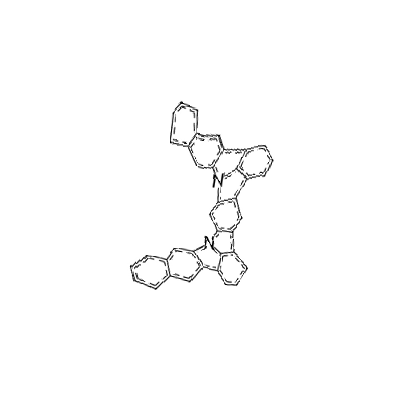 c1ccc2cc3c(cc2c1)c1cccc2c4cc5c6cccc7c8cc9ccccc9cc8n(c5cc4n3c12)c76